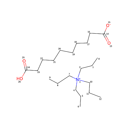 CCC[N+](CCC)(CCC)CCC.O=C([O-])CCCCCCCCC(=O)O